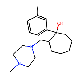 Cc1cccc(C2(O)CCCCCC2CN2CCN(C)CC2)c1